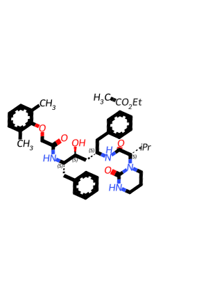 CCOC(C)=O.Cc1cccc(C)c1OCC(=O)N[C@@H](Cc1ccccc1)[C@@H](O)C[C@H](Cc1ccccc1)NC(=O)[C@H](C(C)C)N1CCCNC1=O